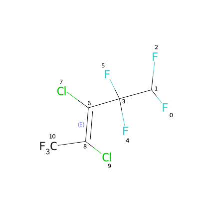 FC(F)C(F)(F)/C(Cl)=C(\Cl)C(F)(F)F